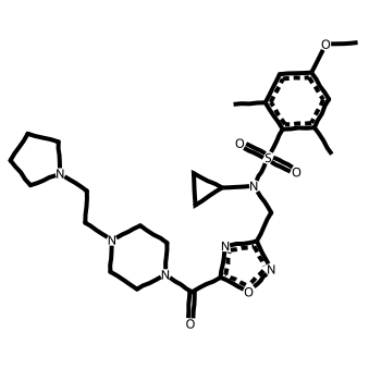 COc1cc(C)c(S(=O)(=O)N(Cc2noc(C(=O)N3CCN(CCN4CCCC4)CC3)n2)C2CC2)c(C)c1